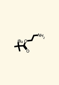 CCC(C)C(C)(C)C(=O)OCCN